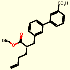 C=CCC[C@H](Cc1cccc(-c2cccc(C(=O)O)c2)c1)C(=O)OC(C)(C)C